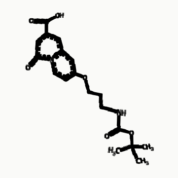 CC(C)(C)OC(=O)NCCCOc1ccn2c(=O)cc(C(=O)O)cc2c1